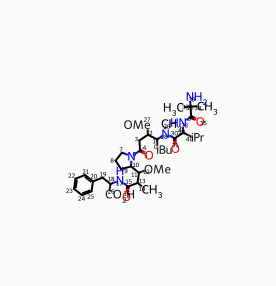 CCC(C)C(C(CC(=O)N1CCCC1C(OC)C(C)C(=O)NC(Cc1ccccc1)C(=O)O)OC)N(C)C(=O)C(NC(=O)C(C)(C)N)C(C)C